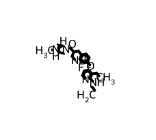 C=CCNc1nccc(Oc2ccc(CC(CN)C(=O)N3C[C@@H]4C[C@H]3CN4C)cc2F)c1CC